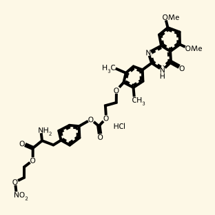 COc1cc(OC)c2c(=O)[nH]c(-c3cc(C)c(OCCOC(=O)Oc4ccc(CC(N)C(=O)OCCO[N+](=O)[O-])cc4)c(C)c3)nc2c1.Cl